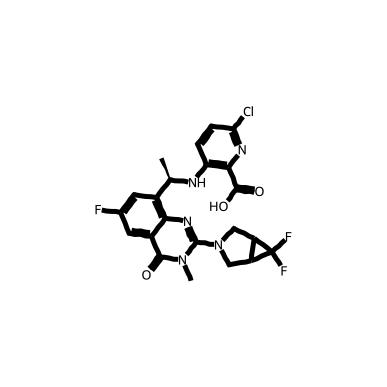 C[C@@H](Nc1ccc(Cl)nc1C(=O)O)c1cc(F)cc2c(=O)n(C)c(N3CC4C(C3)C4(F)F)nc12